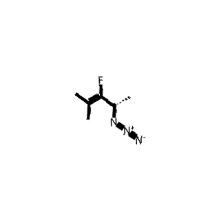 CC(C)=C(F)[C@H](C)N=[N+]=[N-]